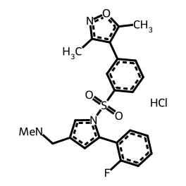 CNCc1cc(-c2ccccc2F)n(S(=O)(=O)c2cccc(-c3c(C)noc3C)c2)c1.Cl